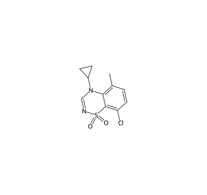 Cc1ccc(Cl)c2c1N(C1CC1)C=NS2(=O)=O